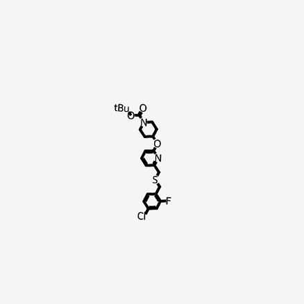 CC(C)(C)OC(=O)N1CCC(Oc2cccc(CSCc3ccc(Cl)cc3F)n2)CC1